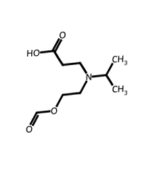 CC(C)N(CCOC=O)CCC(=O)O